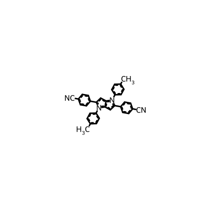 Cc1ccc(-n2c(-c3ccc(C#N)cc3)cc3c2cc(-c2ccc(C#N)cc2)n3-c2ccc(C)cc2)cc1